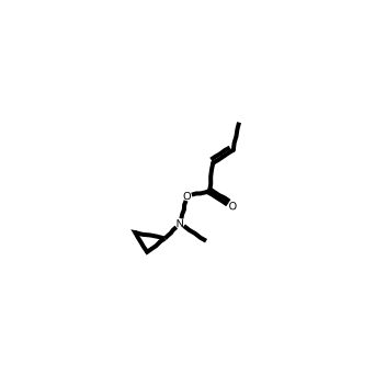 CC=CC(=O)ON(C)C1CC1